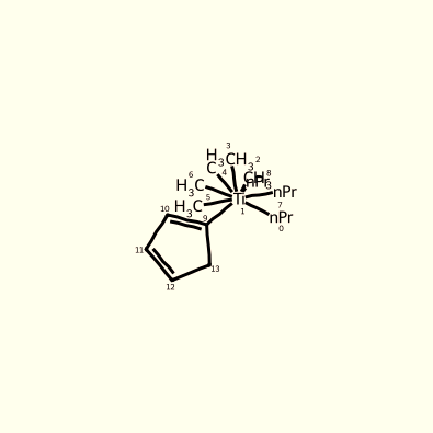 CC[CH2][Ti]([CH3])([CH3])([CH3])([CH3])([CH3])([CH2]CC)([CH2]CC)[C]1=CC=CC1